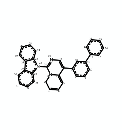 C1=CCN2C(=C1)C(c1cccc(-c3ccccc3)c1)=CN=C2n1c2ccccc2c2ccccc21